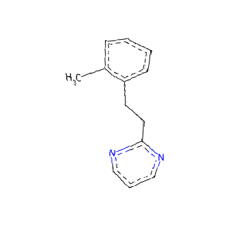 Cc1ccccc1CCc1ncccn1